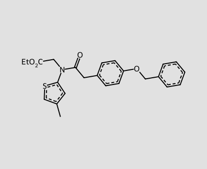 CCOC(=O)CN(C(=O)Cc1ccc(OCc2ccccc2)cc1)c1cc(C)cs1